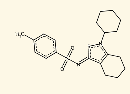 Cc1ccc(S(=O)(=O)N=c2sn(C3CCCCC3)c3c2CCCC3)cc1